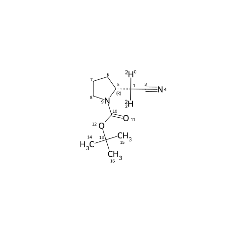 [2H]C([2H])(C#N)[C@H]1CCCN1C(=O)OC(C)(C)C